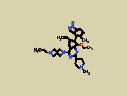 C=CCN1CC2(C1)CN(c1nc(C3CCN(C)CC3)nc3c(OCC(F)(F)F)c(-c4c(C)ccc5[nH]ncc45)c(C=C)cc13)C2